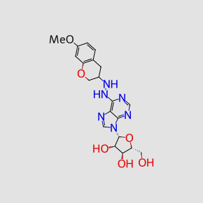 COc1ccc2c(c1)OCC(NNc1ncnc3c1ncn3[C@@H]1O[C@H](CO)[C@@H](O)[C@H]1O)C2